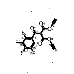 C#COC(=O)C(C(=O)OC#C)C(=O)c1cc(F)c(F)c(F)c1F